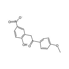 COc1ccc(C(=O)Cc2cc([N+](=O)[O-])ccc2O)cc1